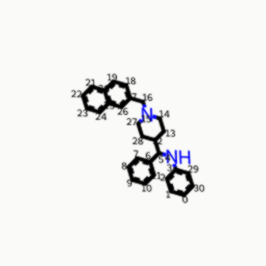 c1ccc(NC(c2ccccc2)C2CCN(Cc3ccc4ccccc4c3)CC2)cc1